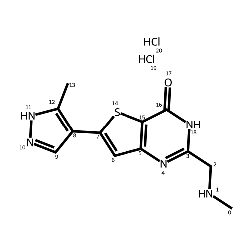 CNCc1nc2cc(-c3cn[nH]c3C)sc2c(=O)[nH]1.Cl.Cl